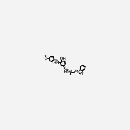 COc1ccc(CNc2cc([CH][CH]NC(C)(C)CCn3cnc4ccccc43)ccc2O)cc1